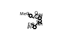 CCOc1c(CNC(=O)C(C)=Cc2cnc3c(c2)CN(Cc2ccc(OC)cc2)CC(=O)N3)cccc1C(C)C